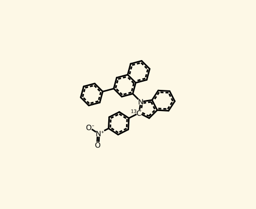 O=[N+]([O-])c1ccc(-[13c]2cc3ccccc3n2-c2cc(-c3ccccc3)cc3ccccc23)cc1